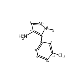 Cn1ncc(N)c1-c1cccc(Cl)c1